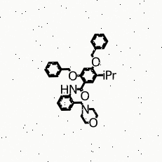 CC(C)c1cc(C(=O)Nc2ccccc2CN2CCOCC2)c(OCc2ccccc2)cc1OCc1ccccc1